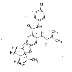 C=C(C)C(=O)Nc1cc(O[Si](C(C)C)(C(C)C)C(C)C)ccc1C(=O)Nc1ccc(Cl)cc1